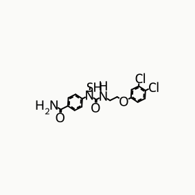 NC(=O)c1ccc(N(S)C(=O)NCCOc2ccc(Cl)c(Cl)c2)cc1